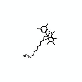 CCCCCCCCCCCCCCCCCC[Si](C)(c1cc(C)cc(C)c1)C1(C)C(C)=C(C)C(C)=[C]1[Ti]([CH3])[CH3]